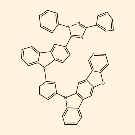 c1ccc(-c2nc(-c3ccc4c(c3)c3ccccc3n4-c3cccc(-n4c5ccccc5c5cc6oc7ccccc7c6cc54)c3)n(-c3ccccc3)n2)cc1